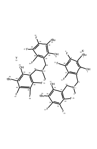 CN(Cc1c(O)c(C(C)(C)C)c(F)c(F)c1F)Cc1c(O)c(C(C)(C)C)c(F)c(F)c1F.CN(Cc1c(O)c(C(C)(C)C)c(F)c(F)c1F)Cc1c(O)c(C(C)(C)C)c(F)c(F)c1F.[K].[Y]